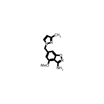 COc1cc(Cn2ccc(C)n2)cc2onc(N)c12